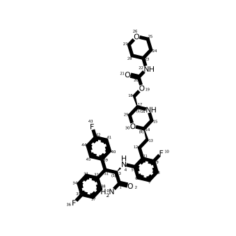 NC(=O)[C@@H](Nc1cccc(F)c1CC[C@@H]1CN[C@H](COC(=O)NC2CCOCC2)CO1)C(c1ccc(F)cc1)c1ccc(F)cc1